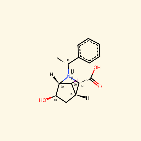 C[C@H](c1ccccc1)N1[C@@H]2[C@@H](I)[C@@H](C[C@H]2O)[C@H]1C(=O)O